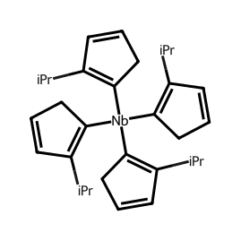 CC(C)C1=[C]([Nb]([C]2=C(C(C)C)C=CC2)([C]2=C(C(C)C)C=CC2)[C]2=C(C(C)C)C=CC2)CC=C1